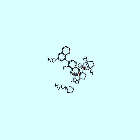 CN1CCC[C@H]1COc1nc(N2C[C@H]3CC[C@@H](C2)N3C(=O)C2CCC(=O)N2)c2ccc(-c3cc(O)cc4ccccc34)c(F)c2n1